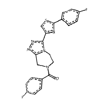 O=C(c1ccc(F)cc1)N1CCn2c(nnc2-c2csc(-c3ccc(F)cc3)n2)C1